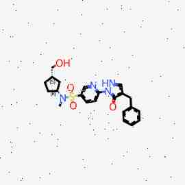 CN([C@@H]1CC[C@H](CO)C1)S(=O)(=O)c1ccc(-n2[nH]cc(Cc3ccccc3)c2=O)nc1